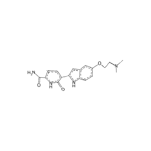 CN(C)CCOc1ccc2[nH]c(-c3c[c]c(C(N)=O)[nH]c3=O)cc2c1